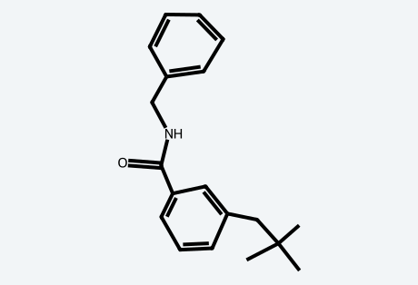 CC(C)(C)Cc1cccc(C(=O)NCc2ccccc2)c1